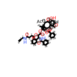 C#CCNC(=O)CCC(=O)O[C@@H](C(=O)OC1C[C@@]2(O)C(OC(=O)c3ccccc3)[C@@H]3[C@]4(OC(C)=O)CO[C@@H]4C[C@H](O)[C@@]3(C)C(=O)[C@H](OC(C)=O)C(=C1C)C2(C)C)[C@@H](NC(=O)c1ccccc1)c1ccccc1